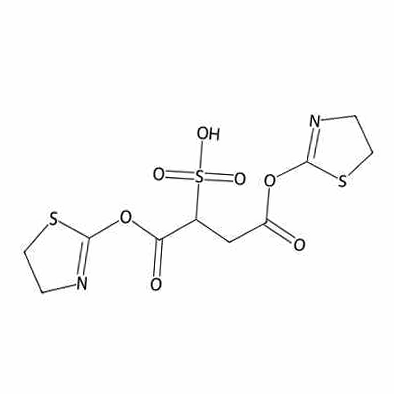 O=C(CC(C(=O)OC1=NCCS1)S(=O)(=O)O)OC1=NCCS1